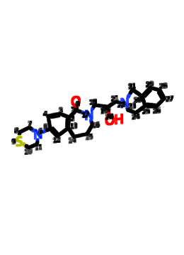 O=C1c2ccc(N3CCSCC3)cc2CCCN1C[C@H](O)CN1CCc2ccccc2C1